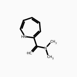 [CH]=C(C1=CC=CC=CN1)N(C)C